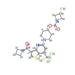 O=C(OC1CCN(c2cc(C(F)(F)F)c3scc(C(=O)N4CCC4)c3n2)CC1)N1CC(F)C1